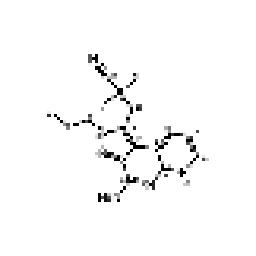 CCCn1nc2c(N)nc3ncccc3c2c1CC(C)(C)C#N